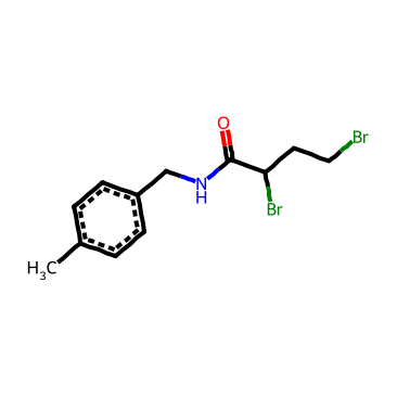 Cc1ccc(CNC(=O)C(Br)CCBr)cc1